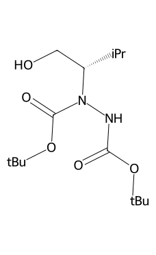 CC(C)[C@@H](CO)N(NC(=O)OC(C)(C)C)C(=O)OC(C)(C)C